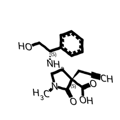 C#CC[C@]1(C(=O)O)CCN(C)C1=O.N[C@H](CO)c1ccccc1